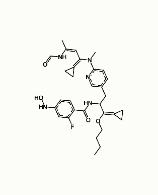 CCCCOC(=C1CC1)C(Cc1ccc(N(C)C(/C=C(/C)NC=O)=C2CC2)nc1)NC(=O)c1ccc(NO)cc1F